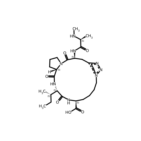 CC[C@H](C)[C@@H]1NC(=O)[C@@H]2CCCN2C(=O)[C@@H](NC(=O)[C@H](C)NC)Cc2cn(nn2)CCCC[C@@H](C(=O)O)NC1=O